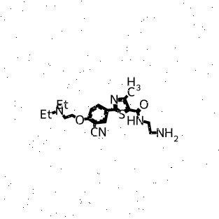 CCN(CC)CCOc1ccc(-c2nc(C)c(C(=O)NCCN)s2)cc1C#N